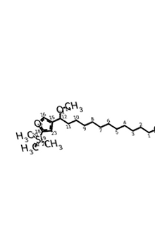 CCCCCCCCCCCCC(OC)c1coc([Si](C)(C)C)c1